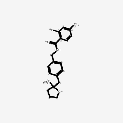 O=C(NCc1ccc(CC2(C(=O)O)CCCO2)cc1)c1ccc(C(F)(F)F)cc1F